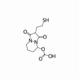 O=C(O)OC1CCCN2C(=O)C(CCS)C(=O)N12